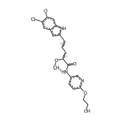 CO/C(=C\C=C\c1cc2cc(Cl)c(Cl)cc2[nH]1)C(=O)Nc1ccc(OCCO)nc1